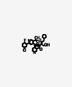 C=C(C)c1cnc(-c2cc(Cl)ccc2F)cc1Nc1ccncc1C(=O)N[C@H](CO)CCC1CCCC1